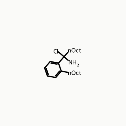 CCCCCCCCc1ccccc1C(N)(Cl)CCCCCCCC